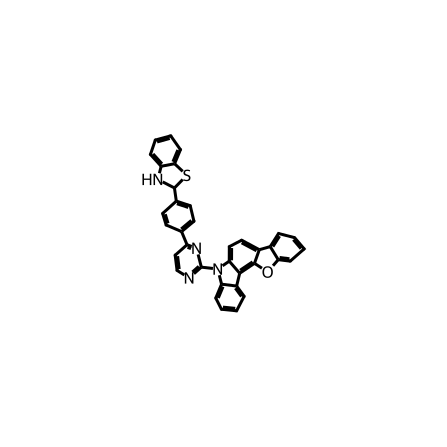 c1ccc2c(c1)NC(c1ccc(-c3ccnc(-n4c5ccccc5c5c6oc7ccccc7c6ccc54)n3)cc1)S2